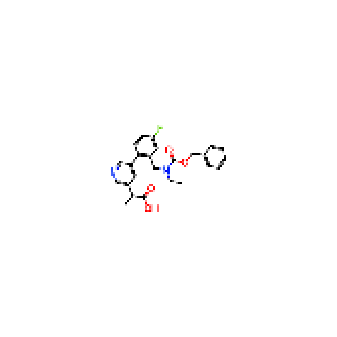 CCN(Cc1cc(F)ccc1-c1cncc(C(C)C(=O)O)c1)C(=O)OCc1ccccc1